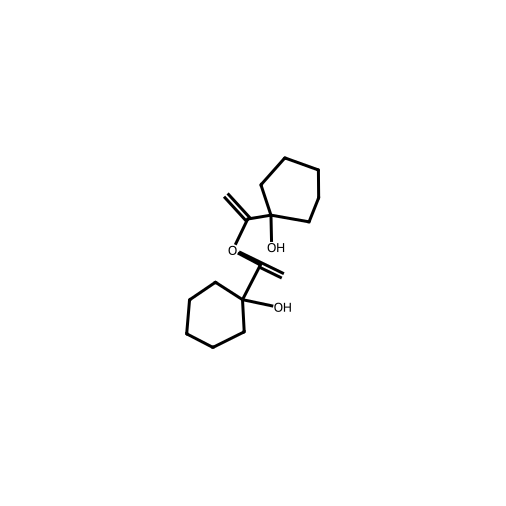 C=C(OC(=C)C1(O)CCCCC1)C1(O)CCCCC1